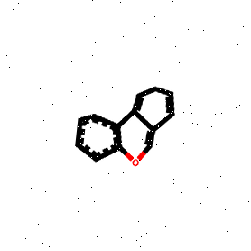 C1=CC2=COc3ccccc3C2=CC1